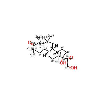 [2H]C1=C2C([2H])([2H])C[C@@H]3[C@H](CC[C@@]4(C)[C@H]3CC[C@]4(O)C(=O)CO)[C@@]2(C)CC([2H])([2H])C1=O